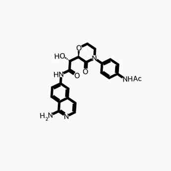 CC(=O)Nc1ccc(N2CCO[C@H]([C@@H](O)C(=O)Nc3ccc4c(N)nccc4c3)C2=O)cc1